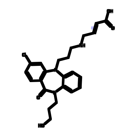 O=C(O)/C=C/CNCCCN1c2cc(Cl)ccc2C(=O)N(CCCO)c2ccccc21